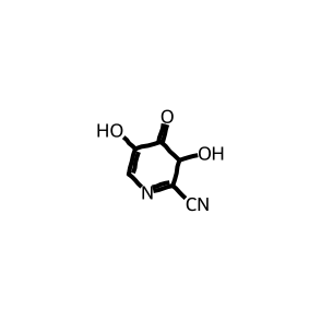 N#CC1=NC=C(O)C(=O)C1O